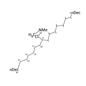 CCCCCCCCCCCCCCCCCC(Cl)CCCCCCCCCCCCCCCC.CNC